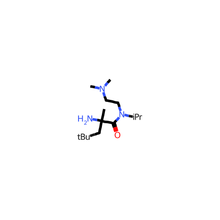 CC(C)N(CCN(C)C)C(=O)C(C)(N)CC(C)(C)C